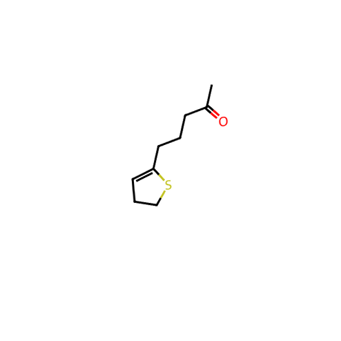 CC(=O)CCCC1=CCCS1